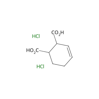 Cl.Cl.O=C(O)C1C=CCCC1C(=O)O